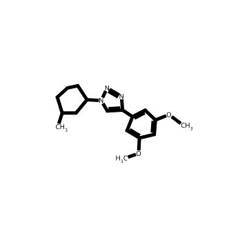 COc1cc(OC)cc(-c2cn(C3CCCC(C)C3)nn2)c1